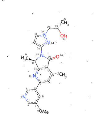 COc1cncc(-c2cc(C)c3c(n2)[C@@H](C)N(c2ccn(C[C@H](C)O)n2)C3=O)c1